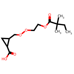 CCC(C)(C)C(=O)OCCOOCC1CC1C(=O)O